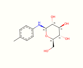 Cc1ccc(N[C@@H]2O[C@H](CO)[C@@H](O)[C@H](O)[C@H]2O)cc1